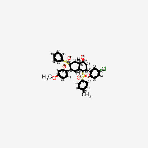 COc1ccc([C@@H]2C[C@@H]3C(S(=O)(=O)c4ccc(C)cc4)[C@H](c4cccc(Cl)c4)CC(=O)[C@@H]3CC2S(=O)(=O)c2ccccc2)cc1